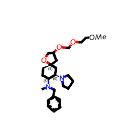 COCCOCOC1CO[C@]2(CC[C@H](N(C)Cc3ccccc3)[C@@H](N3CCCC3)C2)C1